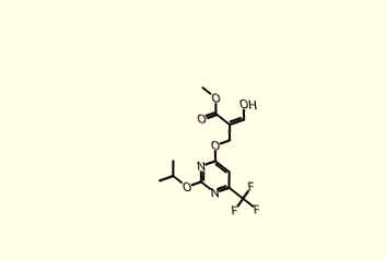 COC(=O)/C(=C\O)COc1cc(C(F)(F)F)nc(OC(C)C)n1